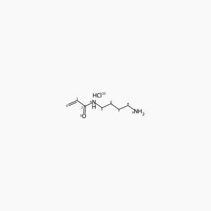 C=CC(=O)NCCCCN.Cl